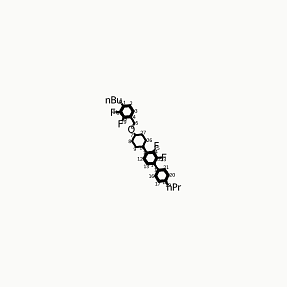 CCCCc1ccc(COC2CCC(c3ccc(-c4ccc(CCC)cc4)c(F)c3F)CC2)c(F)c1F